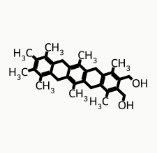 Cc1c(C)c(C)c2c(c1C)Cc1c(C)c3c(c(C)c1C2)Cc1c(C)c(CO)c(CO)c(C)c1C3